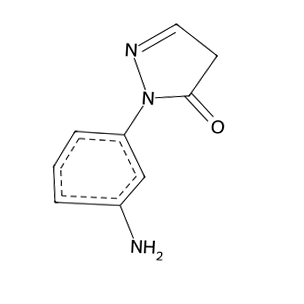 Nc1cccc(N2N=CCC2=O)c1